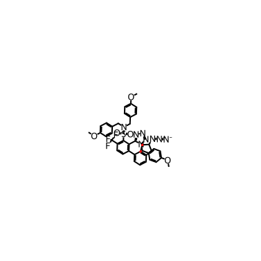 COc1ccc(CN(Cc2ccc(OC)cc2)S(=O)(=O)c2c(C(F)(F)F)ccc(-c3cccc4c3CC(N=[N+]=[N-])C4)c2-c2nnnn2Cc2ccc(OC)cc2)cc1